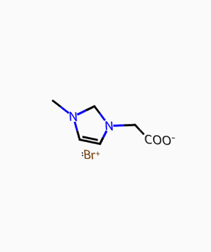 CN1C=CN(CC(=O)[O-])C1.[Br+]